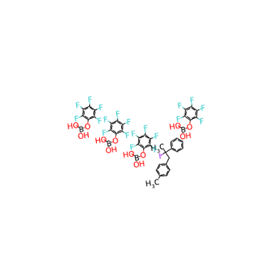 Cc1ccc(CC(C)(I)c2ccccc2)cc1.OB(O)Oc1c(F)c(F)c(F)c(F)c1F.OB(O)Oc1c(F)c(F)c(F)c(F)c1F.OB(O)Oc1c(F)c(F)c(F)c(F)c1F.OB(O)Oc1c(F)c(F)c(F)c(F)c1F